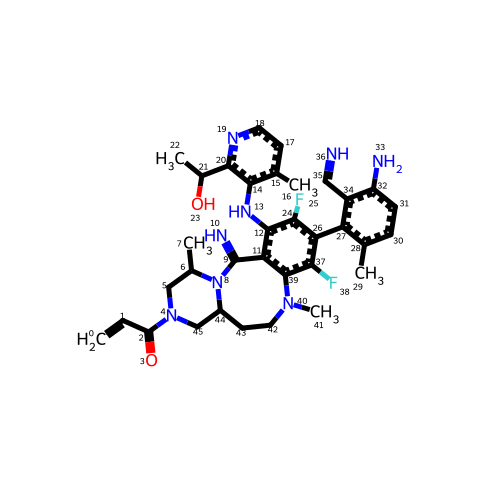 C=CC(=O)N1CC(C)N2C(=N)c3c(Nc4c(C)ccnc4C(C)O)c(F)c(-c4c(C)ccc(N)c4C=N)c(F)c3N(C)CCC2C1